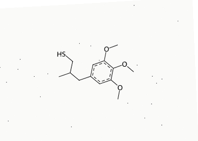 COc1cc(CC(C)CS)cc(OC)c1OC